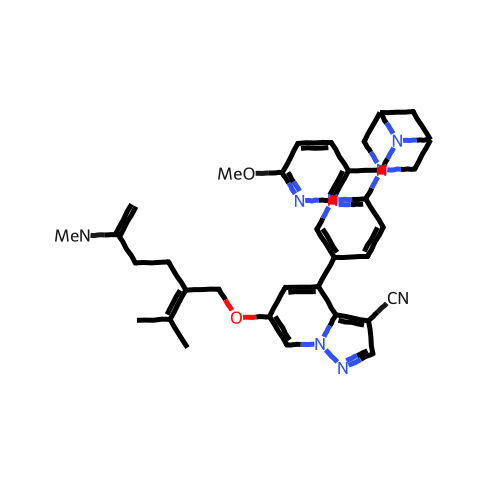 C=C(CCC(COc1cc(-c2ccc(N3CC4CC(C3)N4Cc3ccc(OC)nc3)nc2)c2c(C#N)cnn2c1)=C(C)C)NC